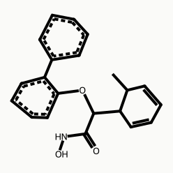 CC1C=CC=CC1C(Oc1ccccc1-c1ccccc1)C(=O)NO